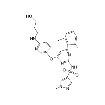 Cc1cccc(C)c1-c1cc(Oc2ccc(NCCCO)nc2)nc(NS(=O)(=O)c2cnn(C)c2)n1